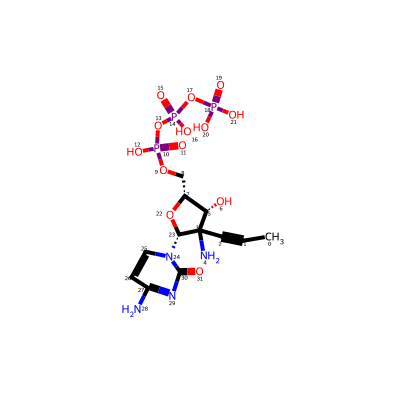 CC#CC1(N)[C@@H](O)[C@@H](COP(=O)(O)OP(=O)(O)OP(=O)(O)O)O[C@H]1n1ccc(N)nc1=O